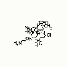 C[C@]12CC[C@H]3[C@@H](C[C@@H](C#N)[C@@]4(O)C/C(=N\OCCN)CC[C@]34C)[C@@H]1CCC2=O.O=C(O)/C=C/C(=O)O